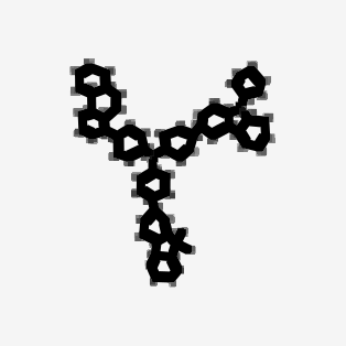 CC1(C)c2ccccc2-c2ccc(-c3ccc(N(c4ccc(-c5ccc6c(c5)c5ccccc5n6-c5ccccc5)cc4)c4ccc(-c5cccc6c5ccc5ccccc56)cc4)cc3)cc21